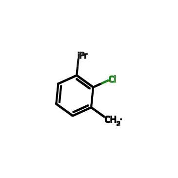 [CH2]c1cccc(C(C)C)c1Cl